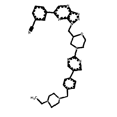 CCN1CCN(Cc2ccc(-c3cnc(N4CCOC(Cn5nnc6ncc(-c7cccc(C#N)c7)nc65)C4)nc3)cc2)CC1